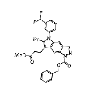 COC(=O)CCc1c(C(C)C)n(-c2cccc(C(F)F)c2)c2cc3cnn(C(=O)OCc4ccccc4)c3cc12